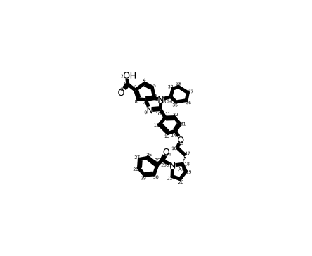 O=C(O)c1ccc2c(c1)nc(-c1ccc(OCC[C@@H]3CCCN3C(=O)c3ccccc3)cc1)n2C1CCCCC1